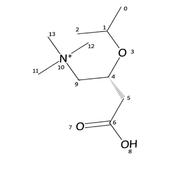 CC(C)O[C@H](CC(=O)O)C[N+](C)(C)C